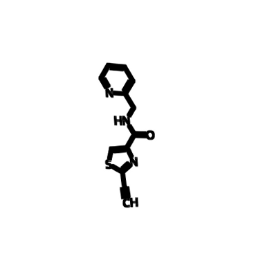 C#Cc1nc(C(=O)NCc2ccccn2)cs1